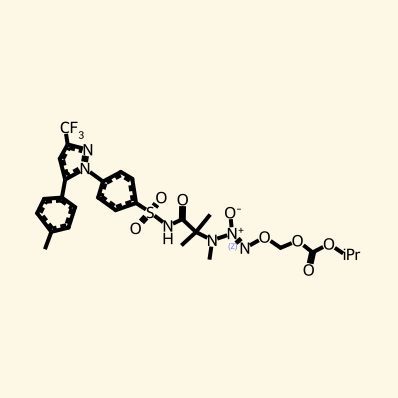 Cc1ccc(-c2cc(C(F)(F)F)nn2-c2ccc(S(=O)(=O)NC(=O)C(C)(C)N(C)/[N+]([O-])=N/OCOC(=O)OC(C)C)cc2)cc1